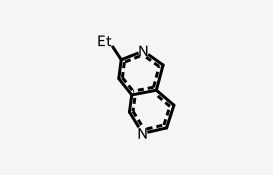 CCc1cc2cnccc2cn1